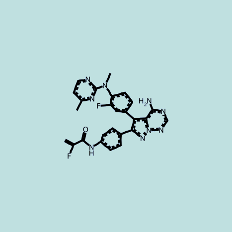 C=C(F)C(=O)Nc1ccc(-c2nn3ncnc(N)c3c2-c2ccc(N(C)c3nccc(C)n3)c(F)c2)cc1